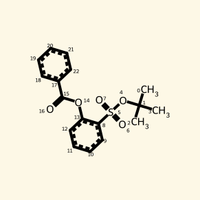 CC(C)(C)OS(=O)(=O)c1ccccc1OC(=O)c1ccccc1